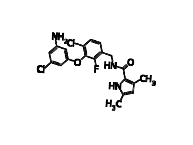 Cc1cc(C)c(C(=O)NCc2ccc(Cl)c(Oc3cc(N)cc(Cl)c3)c2F)[nH]1